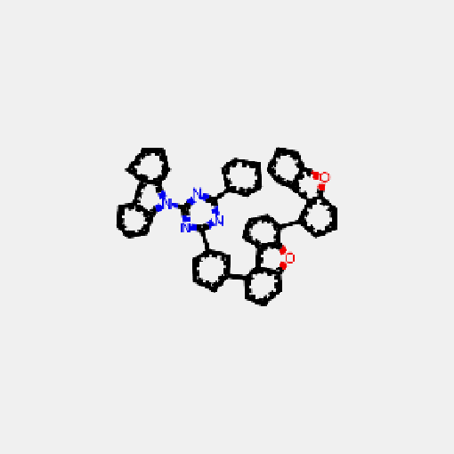 c1ccc(-c2nc(-c3cccc(-c4cccc5oc6c(-c7cccc8oc9ccccc9c78)cccc6c45)c3)nc(-n3c4ccccc4c4ccccc43)n2)cc1